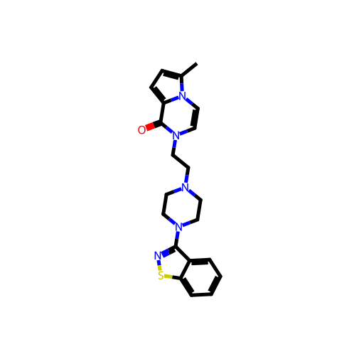 Cc1ccc2c(=O)n(CCN3CCN(c4nsc5ccccc45)CC3)ccn12